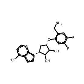 Cc1ccnc2c1ccn2[C@@H]1C[C@H](Oc2cc(F)c(F)cc2CN)[C@@H](O)[C@H]1O